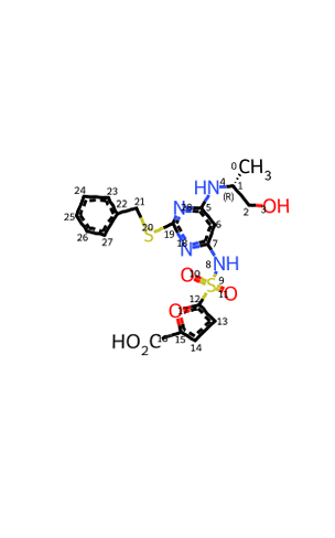 C[C@H](CO)Nc1cc(NS(=O)(=O)c2ccc(C(=O)O)o2)nc(SCc2ccccc2)n1